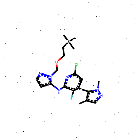 Cc1cnn(C)c1-c1cc(Cl)nc(Nc2ccnn2COCC[Si](C)(C)C)c1F